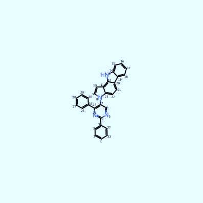 c1ccc(-c2ncc(-n3ccc4c5[nH]c6ccccc6c5ccc43)c(-c3ccccc3)n2)cc1